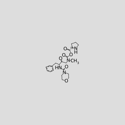 CN(CC(=O)C(Cc1ccccc1)NC(=O)N1CCOCC1)C(=O)OC(=O)[C@@H]1CCCN1